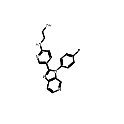 OCCNc1ccc(-c2nc3ccncc3n2-c2ccc(F)cc2)cn1